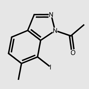 CC(=O)n1ncc2ccc(C)c(I)c21